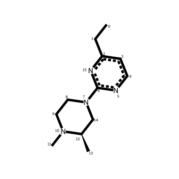 CCc1ccnc(N2CCN(C)[C@H](C)C2)n1